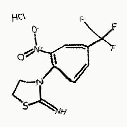 Cl.N=C1SCCN1c1ccc(C(F)(F)F)cc1[N+](=O)[O-]